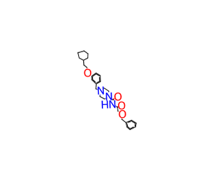 O=C(COCc1ccccc1)NC(=O)N1CCN(Cc2cccc(OCCC3CCCCC3)c2)CC1